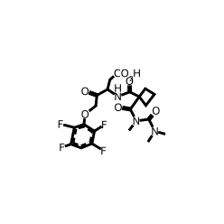 CN(C)C(=O)N(C)C(=O)C1(C(=O)NC(CC(=O)O)C(=O)COc2c(F)c(F)cc(F)c2F)CCC1